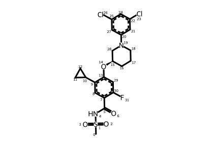 CS(=O)(=O)NC(=O)c1cc(C2CC2)c(O[C@@H]2CCCN(c3cc(Cl)cc(Cl)c3)C2)cc1F